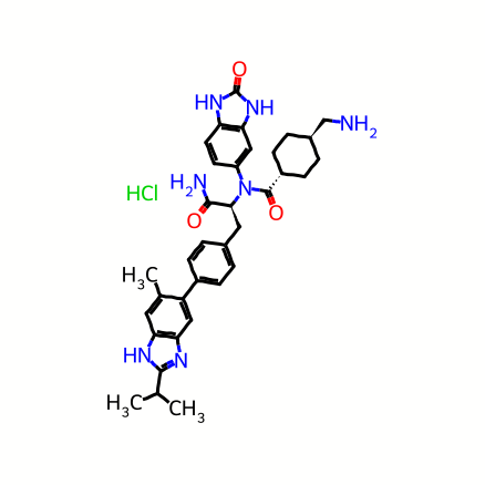 Cc1cc2[nH]c(C(C)C)nc2cc1-c1ccc(C[C@@H](C(N)=O)N(c2ccc3[nH]c(=O)[nH]c3c2)C(=O)[C@H]2CC[C@H](CN)CC2)cc1.Cl